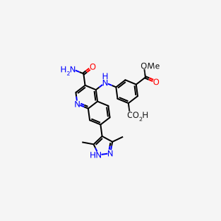 COC(=O)c1cc(Nc2c(C(N)=O)cnc3cc(-c4c(C)n[nH]c4C)ccc23)cc(C(=O)O)c1